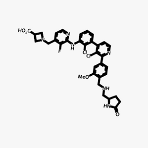 COc1cc(-c2nccc(-c3cccc(Nc4nccc(CN5CC(C(=O)O)C5)c4F)c3Cl)c2Cl)ccc1CNCC1CCC(=O)N1